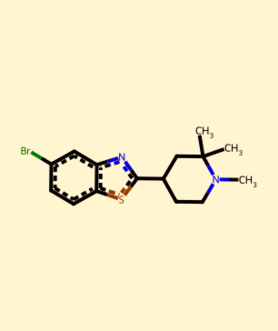 CN1CCC(c2nc3cc(Br)ccc3s2)CC1(C)C